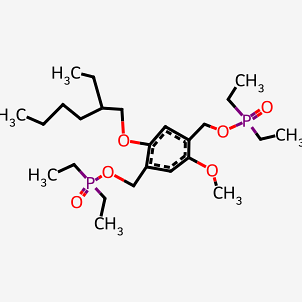 CCCCC(CC)COc1cc(COP(=O)(CC)CC)c(OC)cc1COP(=O)(CC)CC